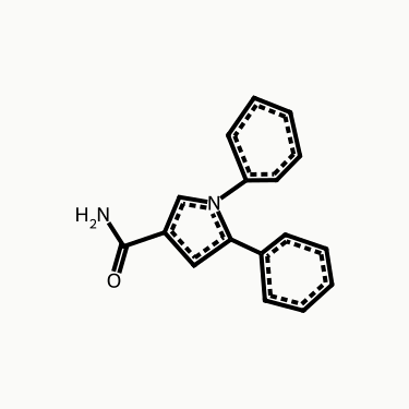 NC(=O)c1cc(-c2ccccc2)n(-c2ccccc2)c1